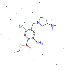 CCOC(=O)c1cc(Br)c(CN2CCC(NC)C2)cc1N